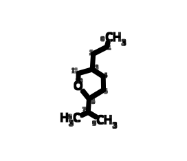 CCCC1CCC(C(C)C)OC1